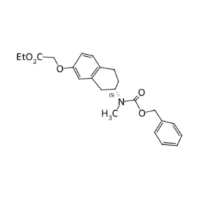 CCOC(=O)COc1ccc2c(c1)C[C@@H](N(C)C(=O)OCc1ccccc1)CC2